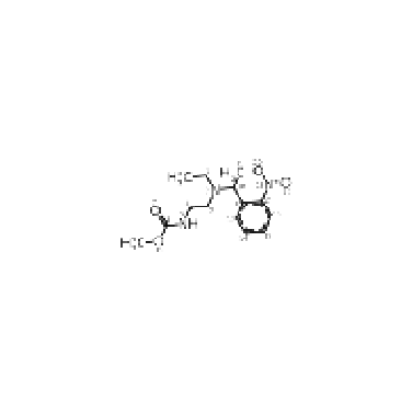 CCN(CCNC(=O)OC)C(C)c1ccccc1[N+](=O)[O-]